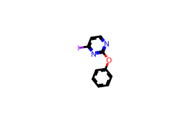 Ic1ccnc(Oc2ccccc2)n1